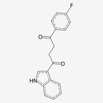 O=C(CCC(=O)c1c[nH]c2ccccc12)c1ccc(F)cc1